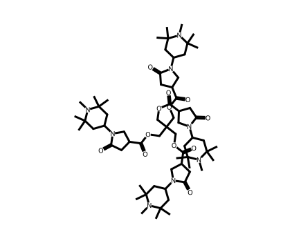 CN1C(C)(C)CC(N2CC(C(=O)OCC(COC(=O)C3CC(=O)N(C4CC(C)(C)N(C)C(C)(C)C4)C3)(COC(=O)C3CC(=O)N(C4CC(C)(C)N(C)C(C)(C)C4)C3)COC(=O)C3CC(=O)N(C4CC(C)(C)N(C)C(C)(C)C4)C3)CC2=O)CC1(C)C